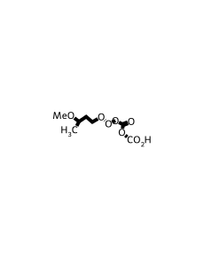 COC(C)CCOOOC(=O)OC(=O)O